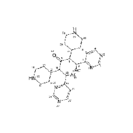 CC(=O)C(c1ccncn1)C(C(=O)C(C1CCNCC1)C(C(C)=O)c1ccncn1)C1CCNCC1